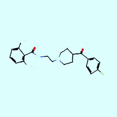 COc1cccc(OC)c1C(=O)NCCN1CCC(C(=O)c2ccc(F)cc2)CC1